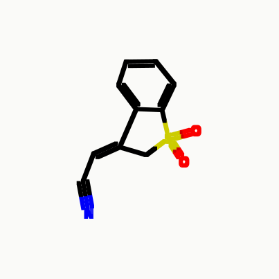 N#CC=C1CS(=O)(=O)c2ccccc21